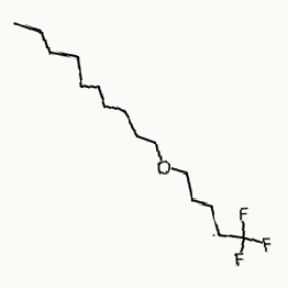 CCCCCCCCCCOCCC[CH]C(F)(F)F